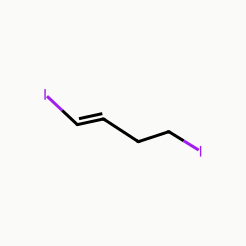 IC=CCCI